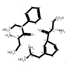 N[C@@H](CC(=O)O)C(=O)N(CC(=O)O)C1=CCC=CC1.N[C@@H](CC1=CC(C(=O)[C@@H](N)CC(=O)O)C=CC1)C(=O)O